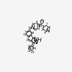 O=C(c1ccncc1)N1CCN(Cc2ccc3c(c2)-c2[nH]nc(-c4ccsc4)c2C3)CC1